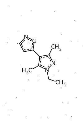 CCn1nc(C)c(-c2c[c]no2)c1C